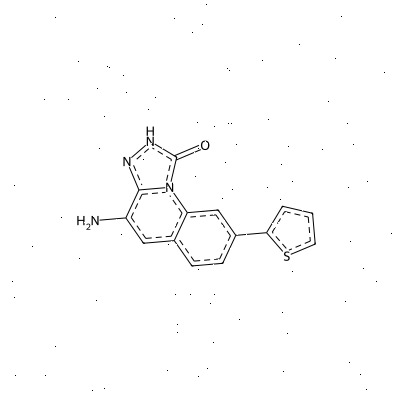 Nc1cc2ccc(-c3cccs3)cc2n2c(=O)[nH]nc12